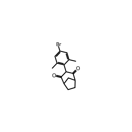 Cc1cc(Br)cc(C)c1C1C(=O)C2CCC(C2)C1=O